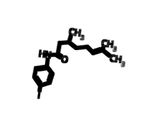 CC(C)=CCCC(C)CC(=O)Nc1ccc(I)cc1